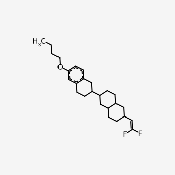 CCCCOc1ccc2c(c1)CCC(C1CCC3CC(C=C(F)F)CCC3C1)C2